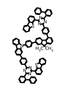 CC1(C)c2cccc(-c3ccc(-c4nc(-c5ccccc5-c5ccccc5)nc(-c5cccc6c5sc5ccccc56)n4)cc3)c2C2C=CC(c3ccc(-n4c5ccccc5c5ccc(-c6ccc(-c7nc(-c8ccccc8-c8ccccc8)nc(-c8cccc9c8sc8ccccc89)n7)cc6)cc54)cc3)=CC21